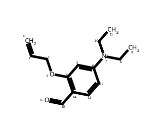 C=CCOc1cc(N(CC)CC)ccc1C=O